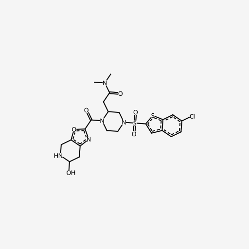 CN(C)C(=O)CC1CN(S(=O)(=O)c2cc3ccc(Cl)cc3s2)CCN1C(=O)c1nc2c(o1)CNC(O)C2